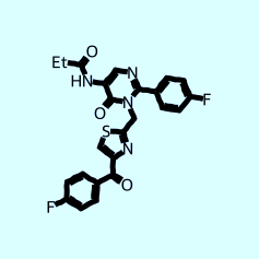 CCC(=O)Nc1cnc(-c2ccc(F)cc2)n(Cc2nc(C(=O)c3ccc(F)cc3)cs2)c1=O